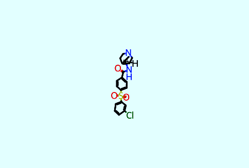 O=C(N[C@H]1CN2CCC1CC2)c1ccc(S(=O)(=O)c2cccc(Cl)c2)cc1